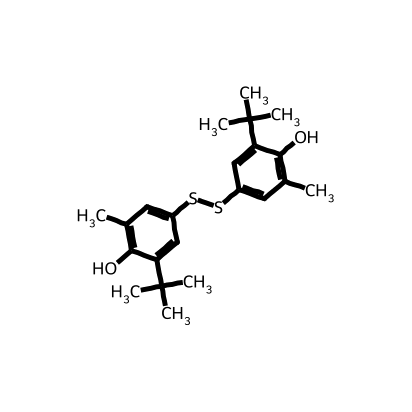 Cc1cc(SSc2cc(C)c(O)c(C(C)(C)C)c2)cc(C(C)(C)C)c1O